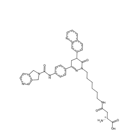 N[C@H](CC(=O)NCCCCCCN1N=C(c2ccc(NC(=O)N3Cc4ccncc4C3)cc2)CC(c2ccc3cccnc3c2)C1=O)C(=O)O